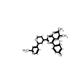 Cc1cc(C2CC(c3nc(-c4ccc(F)cc4F)c4cc(C)c(C)nc4n3)CCO2)ccn1